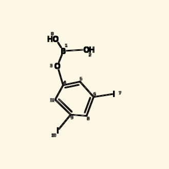 OB(O)Oc1cc(I)cc(I)c1